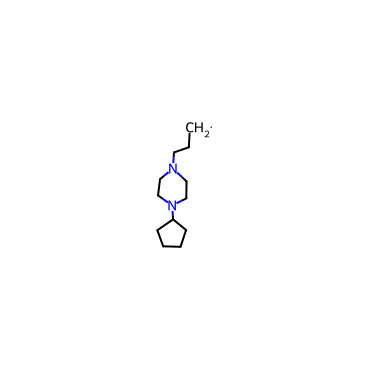 [CH2]CCN1CCN(C2CCCC2)CC1